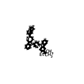 CCC(C)(C)c1ccc2c(c1)c1ccccc1n2-c1ccc(-n2c3c(c4ccc#cc42)C=NC(C24CCN5CC(CC5C2)C4)CC3)cn1